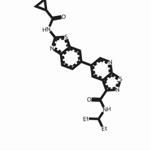 CCC(CC)NC(=O)c1nsc2ncc(-c3ccc4nc(NC(=O)C5CC5)sc4c3)cc12